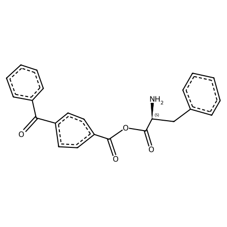 N[C@@H](Cc1ccccc1)C(=O)OC(=O)c1ccc(C(=O)c2ccccc2)cc1